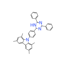 Cc1cc(C)c2c(c1)c1cc(C)cc(C)c1n2-c1ccc(C2N=C(c3ccccc3)N=C(c3ccccc3)N2)cc1